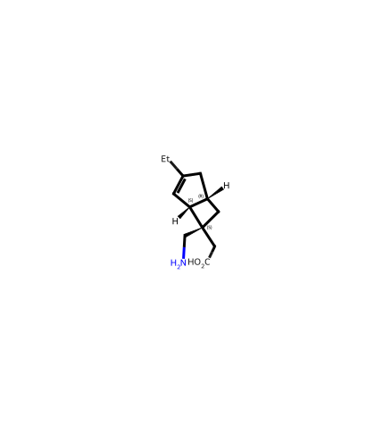 CCC1=C[C@@H]2[C@H](C1)C[C@]2(CN)CC(=O)O